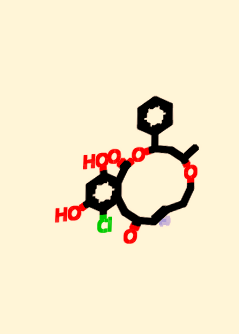 CC1CC(c2ccccc2)OC(=O)c2c(O)cc(O)c(Cl)c2CC(=O)/C=C/CCO1